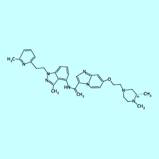 C=C(Nc1cccc2c1c(C)nn2CCc1cccc(C)n1)c1cnc2cc(OCCN3CCN(C)[C@@H](C)C3)ccn12